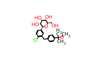 COC(C)(C)c1ccc(Cc2cc([C@@H]3O[C@H](CO)[C@@H](O)[C@H](O)[C@H]3O)ccc2Cl)cc1